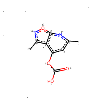 Cc1cc(OC(=O)O)c2c(C)noc2n1